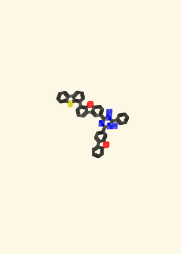 c1ccc(C2NC(c3ccc4oc5c(-c6cccc7c6sc6ccccc67)cccc5c4c3)=NC(c3ccc4c(c3)oc3ccccc34)N2)cc1